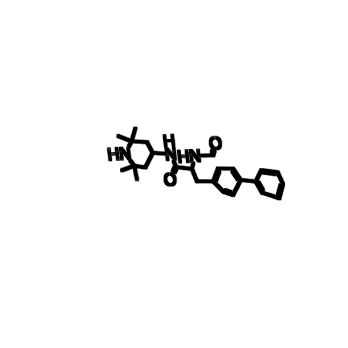 CC1(C)CC(NC(=O)C(Cc2ccc(-c3ccccc3)cc2)NC=O)CC(C)(C)N1